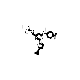 NC(=O)OCc1cc(NC2CCC(F)(F)CC2)nc(-n2ccc(C3CC3)n2)n1